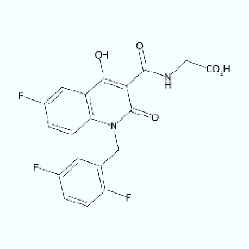 O=C(O)CNC(=O)c1c(O)c2cc(F)ccc2n(Cc2cc(F)ccc2F)c1=O